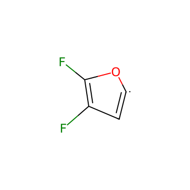 Fc1c[c]oc1F